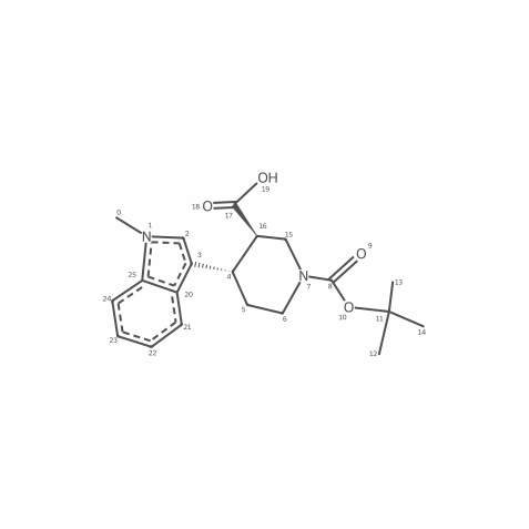 Cn1cc([C@H]2CCN(C(=O)OC(C)(C)C)C[C@@H]2C(=O)O)c2ccccc21